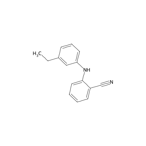 CCc1cccc(Nc2ccccc2C#N)c1